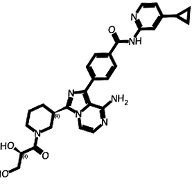 Nc1nccn2c([C@@H]3CCCN(C(=O)[C@H](O)CO)C3)nc(-c3ccc(C(=O)Nc4cc(C5CC5)ccn4)cc3)c12